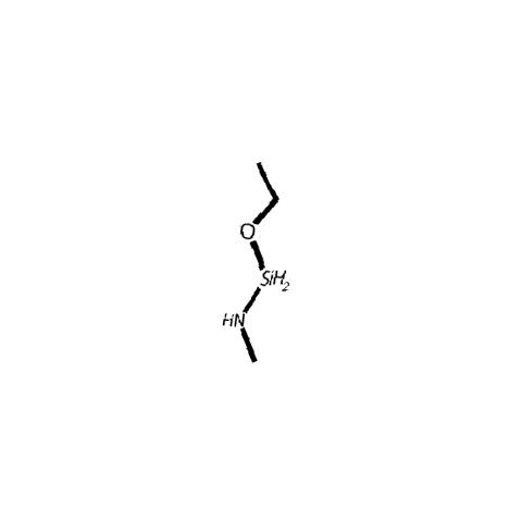 CCO[SiH2]NC